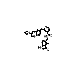 O=C(NCc1ccc2[nH]cc(Cl)c2c1F)c1ccnc(Cc2ccc3ncc(N4CCC4)cc3c2)c1